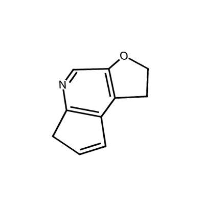 C1=Cc2c(ncc3c2CCO3)C1